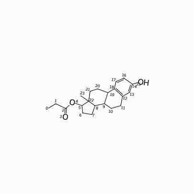 CCC(=O)OC1CCC2C3CCc4cc(O)ccc4C3CCC12C